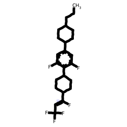 CCCC1CCC(c2cc(F)c(C3CCC(/C(F)=C/C(F)(F)F)CC3)c(F)c2)CC1